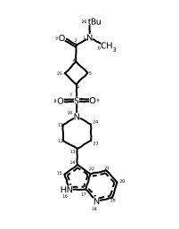 CN(C(=O)C1CC(S(=O)(=O)N2CCC(c3c[nH]c4ncccc34)CC2)C1)C(C)(C)C